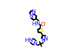 CC(C)(CN1CCNCC1)Cn1cc(-c2ccc(C(=O)NCc3ccn4ccnc4c3)s2)cn1